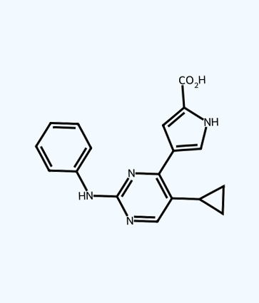 O=C(O)c1cc(-c2nc(Nc3ccccc3)ncc2C2CC2)c[nH]1